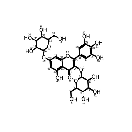 O=c1c(O[C@@H]2OC(CO)[C@@H](O)C(O)C2O)c(-c2cc(O)c(O)c(O)c2)oc2cc(O[C@@H]3OC(CO)[C@H](O)[C@H](O)C3O)cc(O)c12